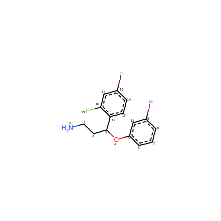 NCCC(Oc1cccc(I)c1)c1ccc(I)cc1F